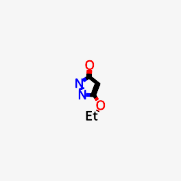 CCOC1=CC(=O)N=N1